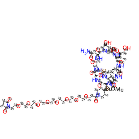 CC[C@H](C)[C@@H]1NC(=O)CNC(=O)[C@@H]2Cc3c([nH]c4c(CSC5CCN(C(=O)CCOCCOCCOCCOCCOCCOCCOCCOCCN6C(=O)C=CC6=O)CC5)c(OC)ccc34)[S+]([O-])CC(NC(=O)CNC1=O)C(=O)N[C@@H](CC(N)=O)C(=O)N1C[C@H](O)C[C@H]1C(=O)N[C@@H]([C@@H](C)[C@@H](O)CO)C(=O)N2